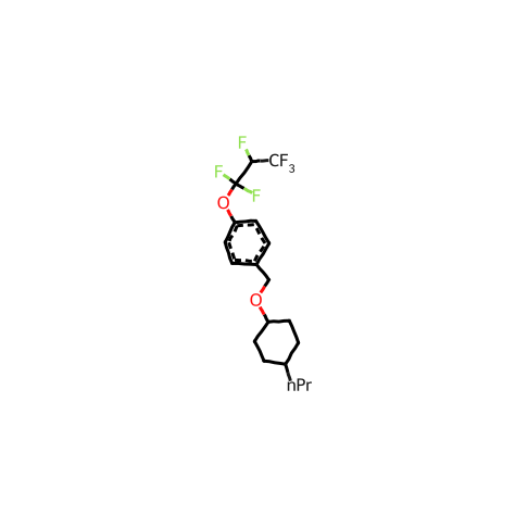 CCCC1CCC(OCc2ccc(OC(F)(F)C(F)C(F)(F)F)cc2)CC1